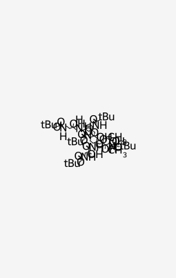 CN(C(=O)OC(C)(C)C)[C@@H]1[C@@H](O)[C@@H](O[C@@H]2[C@@H](O)[C@H](O[C@H]3OC(CNCC(O)CCNC(=O)OC(C)(C)C)=CC[C@H]3NC(=O)CC(C)(C)C)[C@@H](NC(=O)OC(C)(C)C)C[C@H]2NC(=O)[C@@H](O)CNC(=O)OC(C)(C)C)OC[C@]1(C)O